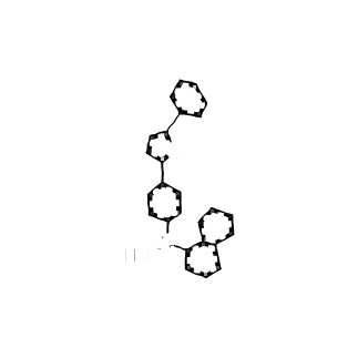 CN(c1ccc(-c2ccc(-c3ccccc3)s2)cc1)c1cccc2ccccc12